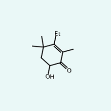 CCC1=C(C)C(=O)C(O)CC1(C)C